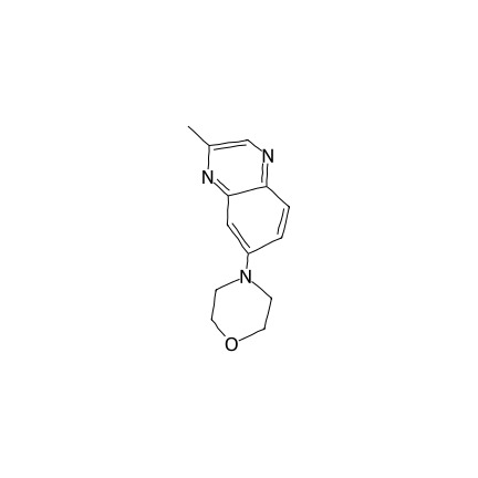 Cc1cnc2ccc(N3CCOCC3)cc2n1